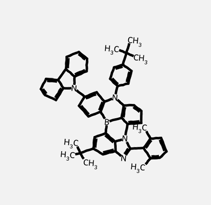 Cc1cccc(C)c1-c1nc2cc(C(C)(C)C)cc3c2n1-c1cccc2c1B3c1ccc(-n3c4ccccc4c4ccccc43)cc1N2c1ccc(C(C)(C)C)cc1